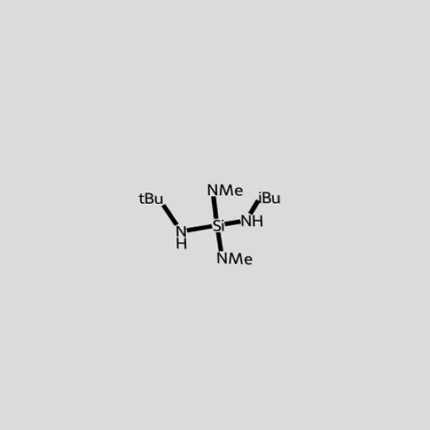 CCC(C)N[Si](NC)(NC)NC(C)(C)C